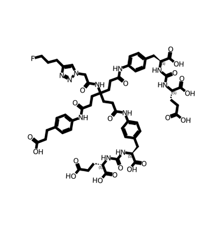 O=C(O)CCc1ccc(NC(=O)CCC(CCC(=O)Nc2ccc(C[C@H](NC(=O)N[C@@H](CCC(=O)O)C(=O)O)C(=O)O)cc2)(CCC(=O)Nc2ccc(C[C@H](NC(=O)N[C@@H](CCC(=O)O)C(=O)O)C(=O)O)cc2)NC(=O)Cn2cc(CCCF)nn2)cc1